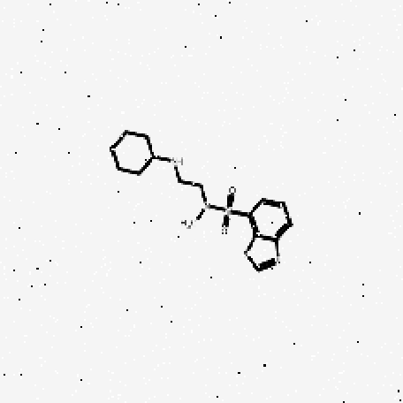 CN(CCNC1CCCCC1)S(=O)(=O)c1cccc2ncsc12